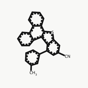 Cc1cccc(-c2cc(C#N)cc3sc4c5ccccc5c5ccccc5c4c23)c1